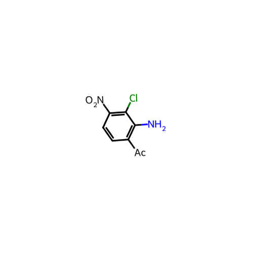 CC(=O)c1ccc([N+](=O)[O-])c(Cl)c1N